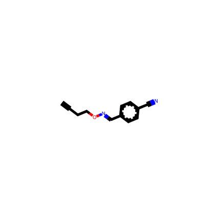 C#CCCON=[C]c1ccc(C#N)cc1